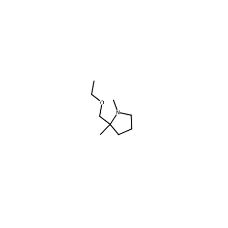 CCOCC1(C)CCCN1C